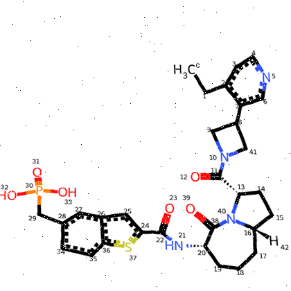 CCc1ccncc1C1CN(C(=O)[C@@H]2CC[C@@H]3CCC[C@H](NC(=O)c4cc5cc(CP(=O)(O)O)ccc5s4)C(=O)N32)C1